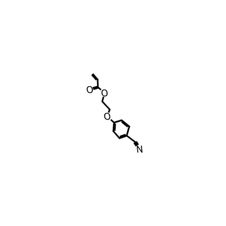 C=CC(=O)OCCOc1ccc(C#N)cc1